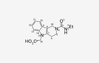 CCNC(=O)N1CCc2c(c3ccccc3n2CC(=O)O)C1